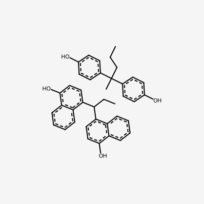 CCC(c1ccc(O)c2ccccc12)c1ccc(O)c2ccccc12.CCCC(C)(c1ccc(O)cc1)c1ccc(O)cc1